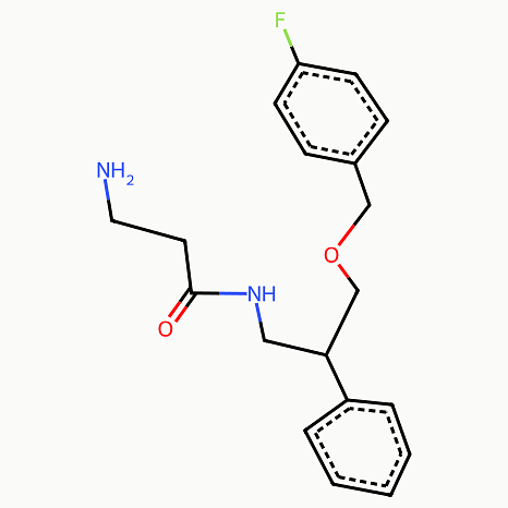 NCCC(=O)NCC(COCc1ccc(F)cc1)c1ccccc1